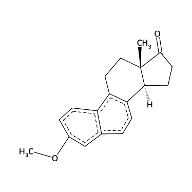 COc1ccc2c3c(ccc2c1)[C@@H]1CCC(=O)[C@@]1(C)CC3